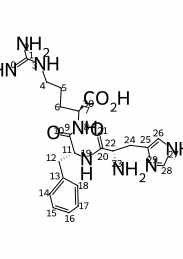 N=C(N)NCCC[C@H](NC(=O)[C@@H](Cc1ccccc1)NC(=O)[C@@H](N)Cc1c[nH]cn1)C(=O)O